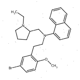 CCN1CCCC1CN(CCc1cc(Br)ccc1OC)c1cccc2ccccc12